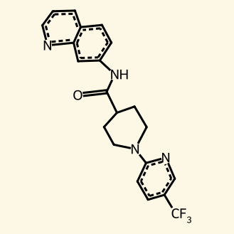 O=C(Nc1ccc2cccnc2c1)C1CCN(c2ccc(C(F)(F)F)cn2)CC1